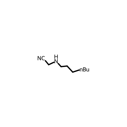 CCCCCCCNCC#N